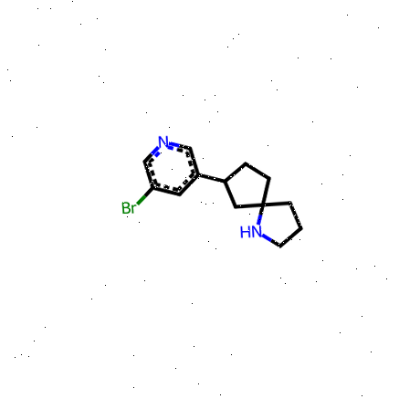 Brc1cncc(C2CCC3(CCCN3)C2)c1